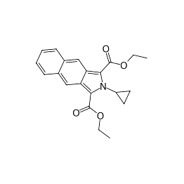 CCOC(=O)c1c2cc3ccccc3cc2c(C(=O)OCC)n1C1CC1